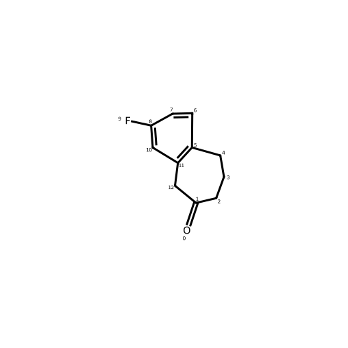 O=C1CCCc2ccc(F)cc2C1